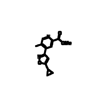 COC(=O)c1cc(-c2cc(C3CC3)on2)c(C)cn1